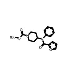 CC(C)(C)OC(=O)N1CCC(N(C(=O)c2ccco2)c2ccccc2)CC1